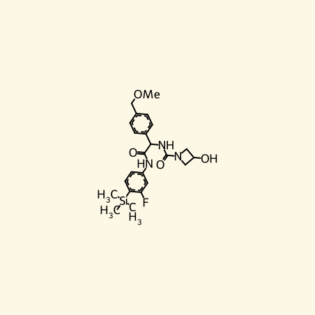 COCc1ccc(C(NC(=O)N2CC(O)C2)C(=O)Nc2ccc([Si](C)(C)C)c(F)c2)cc1